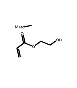 C=CC(=O)OCCO.CNC